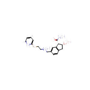 NC(=O)[C@@H]1c2cc(CNCCSc3ccccn3)ccc2C[C@H]1O